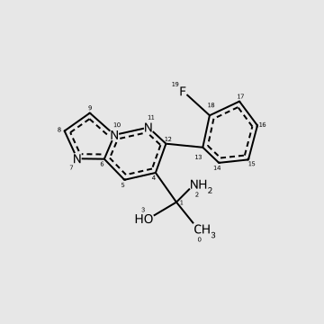 CC(N)(O)c1cc2nccn2nc1-c1ccccc1F